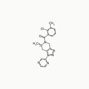 Cc1cccc(C(=O)N2Cc3nnn(-c4cnccn4)c3C[C@H]2C)c1Cl